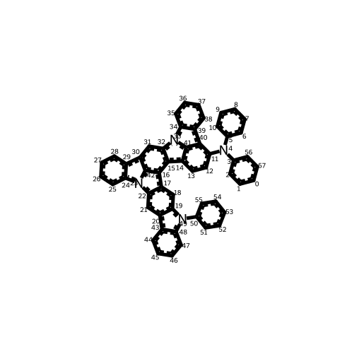 c1ccc(N(c2ccccc2)c2ccc3c4c5c6cc7c(cc6n6c8ccccc8c(cc4n4c8ccccc8c2c34)c56)c2ccccc2n7-c2ccccc2)cc1